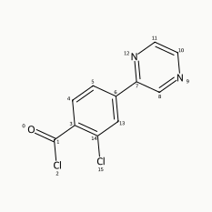 O=C(Cl)c1ccc(-c2cnccn2)cc1Cl